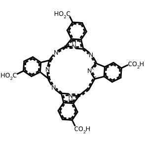 O=C(O)c1ccc2c(c1)-c1nc-2cc2[nH]c(nc3nc(nc4[nH]c(n1)c1ccc(C(=O)O)cc41)-c1ccc(C(=O)O)cc1-3)c1ccc(C(=O)O)cc21